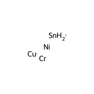 [Cr].[Cu].[Ni].[SnH2]